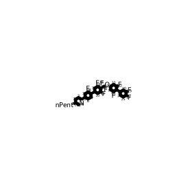 CCCCCc1ccc(-c2ccc(-c3cc(F)c(C(F)(F)Oc4cc(F)c(-c5ccc(F)c(F)c5)c(F)c4)c(F)c3)c(F)c2)nc1